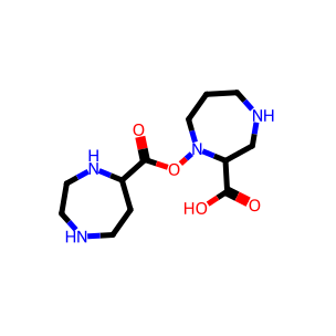 O=C(ON1CCCNCC1C(=O)O)C1CCNCCN1